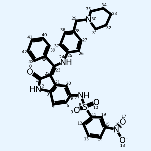 O=C1Nc2ccc(NS(=O)(=O)c3cccc([N+](=O)[O-])c3)cc2/C1=C(\Nc1ccc(CN2CCCCC2)cc1)c1ccccc1